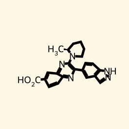 C[C@H]1CCCCN1c1nc2cc(C(=O)O)ccc2nc1-c1ccc2[nH]ncc2c1